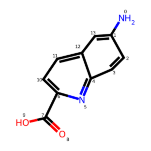 Nc1ccc2nc(C(=O)O)ccc2c1